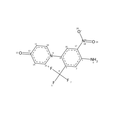 Nc1cc(C(F)(F)F)c(-n2ccc(=O)cc2)cc1[N+](=O)[O-]